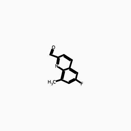 Cc1cc(F)cc2ccc(C=O)nc12